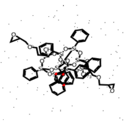 C[Si]1(CCOCC2CO2)O[Si]2(c3ccccc3)O[Si]3(c4ccccc4)O[Si]4(c5ccccc5)O[Si](C)(CCOCC5CO5)O[Si]5(c6ccccc6)O[Si](c6ccccc6)(O[Si](c6ccccc6)(O1)O[Si](c1ccccc1)(O5)O[Si](c1ccccc1)(O2)O4)O3